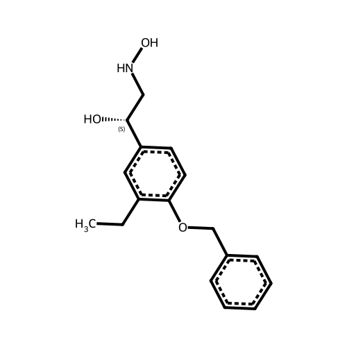 CCc1cc([C@H](O)CNO)ccc1OCc1ccccc1